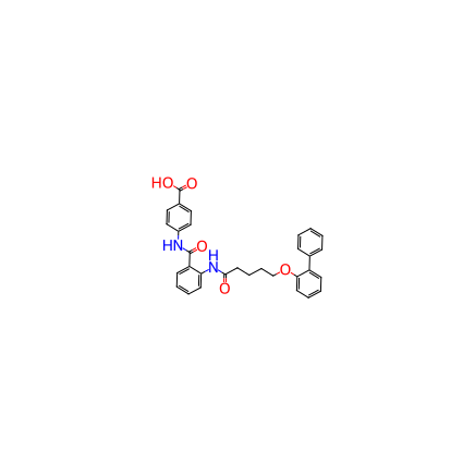 O=C(CCCCOc1ccccc1-c1ccccc1)Nc1ccccc1C(=O)Nc1ccc(C(=O)O)cc1